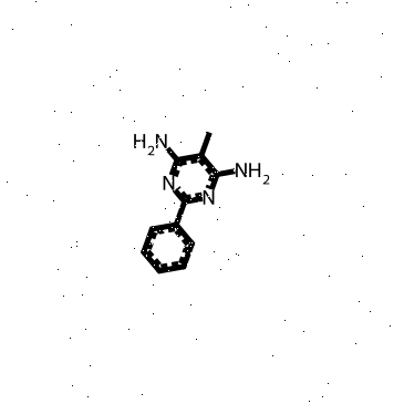 Cc1c(N)nc(-c2ccccc2)nc1N